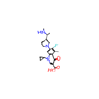 CN[C@@H](C)[C@@H]1CCN(c2cc3c(c(C)c2F)c(=O)c(C(=O)O)cn3C2CC2)C1